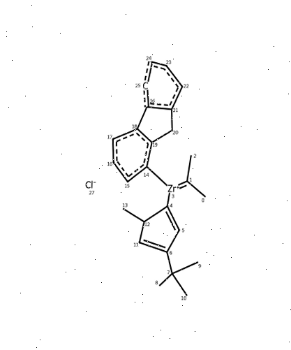 C[C](C)=[Zr+]([C]1=CC(C(C)(C)C)=CC1C)[c]1cccc2c1Cc1ccccc1-2.[Cl-]